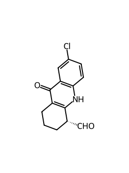 O=C[C@@H]1CCCc2c1[nH]c1ccc(Cl)cc1c2=O